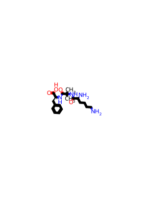 CC(C)(NC(=O)[C@@H](N)CCCCN)C(=O)N[C@@H](Cc1ccccc1)C(=O)O